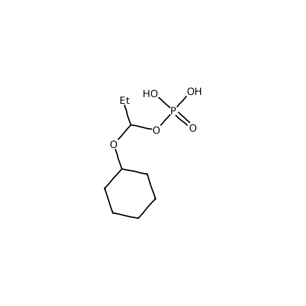 CCC(OC1CCCCC1)OP(=O)(O)O